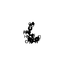 CC(C)(C)OC(=O)N1CCC(N2C=C([C@@H](Nc3cc(Cl)c4ncc(C#N)c(Nc5ccc(F)c(Cl)c5)c4c3)c3cncs3)NN2)CC1